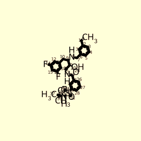 CCc1cccc(CNC(Cc2cc(F)cc(F)c2)[C@H](O)CNC(=O)c2cccc(S(=O)(=O)NC(C)(C)C)c2)c1